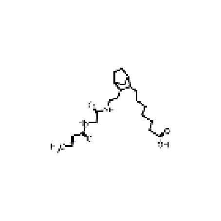 C/C=C/C(=O)NCC(=O)NCCC1C2CCC(C2)C1CCCCCCC(=O)O